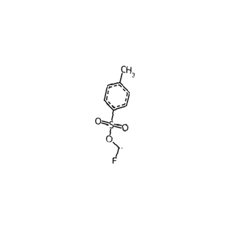 Cc1ccc(S(=O)(=O)O[CH]F)cc1